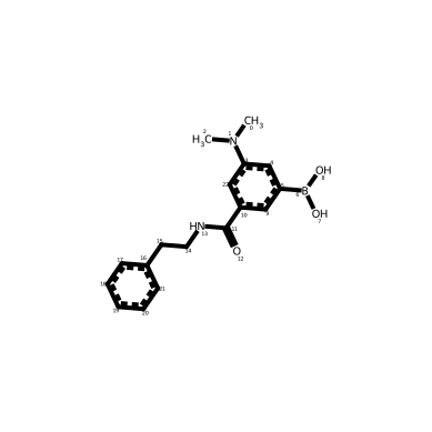 CN(C)c1cc(B(O)O)cc(C(=O)NCCc2ccccc2)c1